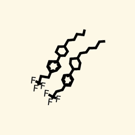 CCCCCC1CCC(c2ccc(CCC(F)(F)F)cc2)CC1.CCCCCCC1CCC(c2ccc(CCC(F)(F)F)cc2)CC1